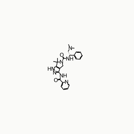 CN(C)C[C@@H](NC(=O)N1Cc2c(NC(=O)c3ccccn3)n[nH]c2C1(C)C)c1ccccc1